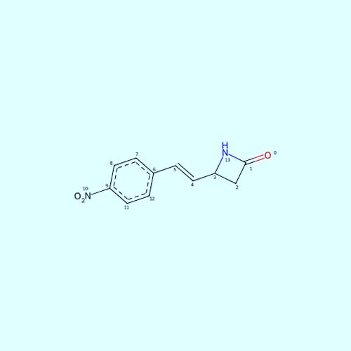 O=C1CC(C=Cc2ccc([N+](=O)[O-])cc2)N1